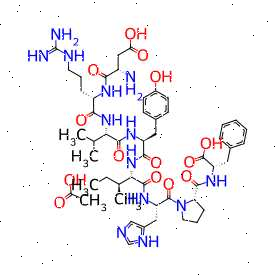 CC(=O)O.CC[C@H](C)[C@H](NC(=O)[C@H](Cc1ccc(O)cc1)NC(=O)[C@@H](NC(=O)[C@H](CCCNC(=N)N)NC(=O)[C@@H](N)CC(=O)O)C(C)C)C(=O)N[C@@H](Cc1cnc[nH]1)C(=O)N1CCC[C@H]1C(=O)N[C@@H](Cc1ccccc1)C(=O)O